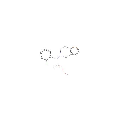 COOC(C)[C@H](c1ccccc1Cl)N1CCc2sccc2C1